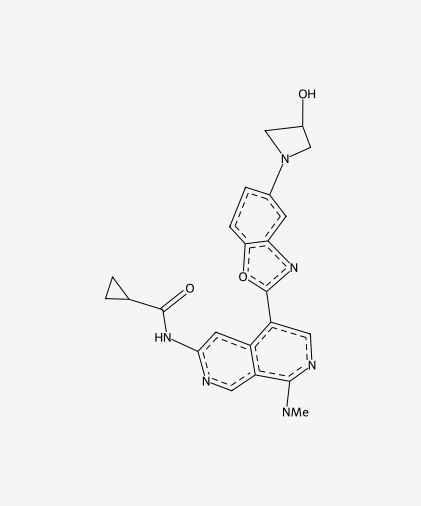 CNc1ncc(-c2nc3cc(N4CC(O)C4)ccc3o2)c2cc(NC(=O)C3CC3)ncc12